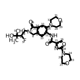 CC(C)(O)C(F)CN1Cc2cc(NC(=O)c3coc(N4CCOCC4)n3)c(N3CCOCC3)cc2C1=O